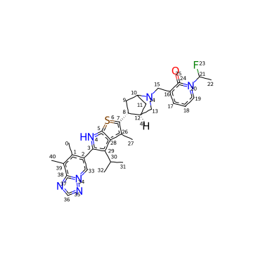 Cc1c(-c2[nH]c3sc([C@@H]4CC5C[C@H]4CN5Cc4cccn(C(C)F)c4=O)c(C)c3c2C(C)C)cn2ncnc2c1C